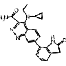 CCN(c1c(C(N)=O)nnc2cc(-c3cccc4c3NC(=O)C4)ccc12)C1CC1